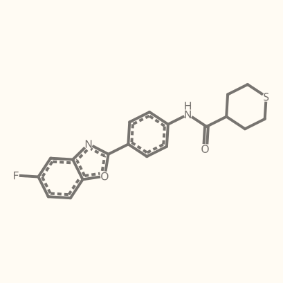 O=C(Nc1ccc(-c2nc3cc(F)ccc3o2)cc1)C1CCSCC1